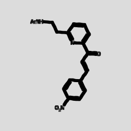 CC(=O)NCCc1cccc(C(=O)C=Cc2ccc([N+](=O)[O-])cc2)n1